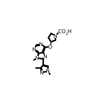 Cc1nn(C)cc1-c1nc2c(O[C@H]3CCN(C(=O)O)C3)ncnc2n1C